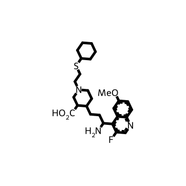 COc1ccc2ncc(F)c(C(N)CCC3CCN(CCSC4CCCCC4)CC3C(=O)O)c2c1